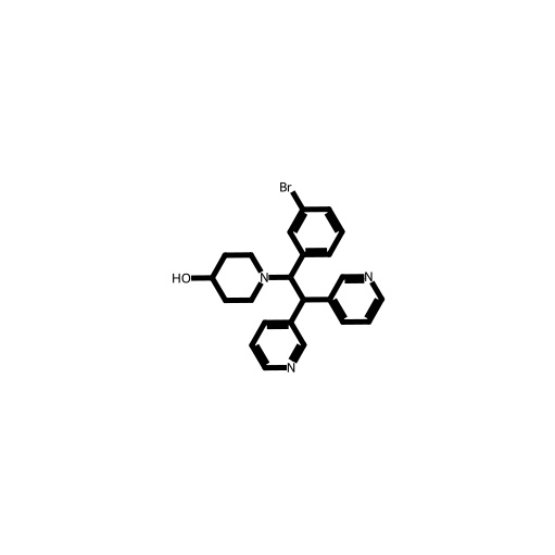 OC1CCN(C(c2cccc(Br)c2)C(c2cccnc2)c2cccnc2)CC1